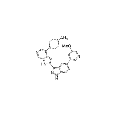 COc1cncc(-c2cc3c(-c4cc5c(N6CCN(C)CC6)cncc5[nH]4)n[nH]c3cn2)c1